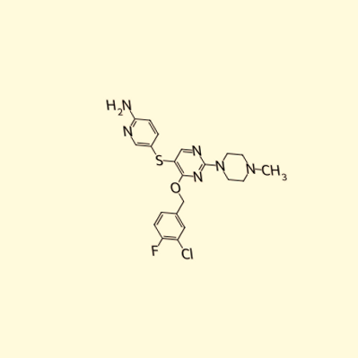 CN1CCN(c2ncc(Sc3ccc(N)nc3)c(OCc3ccc(F)c(Cl)c3)n2)CC1